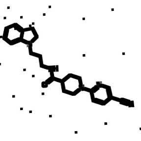 N#Cc1ccc(N2CCC(C(=O)NCCCN3CCc4ccccc43)CC2)nc1